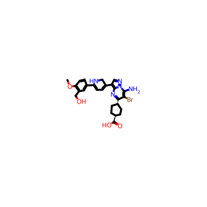 COc1ccc(C2=CC=C(c3cnn4c(N)c(Br)c([C@H]5CC[C@H](C(=O)O)CC5)nc34)CN2)cc1CO